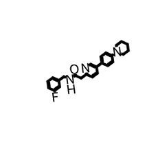 O=C(Cc1ccc(-c2ccc(N3CCCCC3)cc2)cn1)NCc1cccc(F)c1